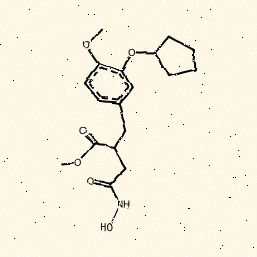 COC(=O)C(CC(=O)NO)Cc1ccc(OC)c(OC2CCCC2)c1